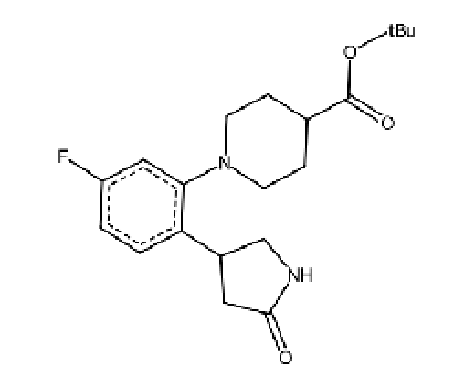 CC(C)(C)OC(=O)C1CCN(c2cc(F)ccc2C2CNC(=O)C2)CC1